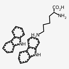 NCCCC[C@H](N)C(=O)O.c1ccc2c(c1)[nH]c1ccccc12.c1ccc2c(c1)[nH]c1ccccc12